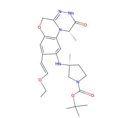 CCO/C=C/c1cc2c(cc1N[C@@]1(C)CCN(C(=O)OC(C)(C)C)C1)N1C(=NNC(=O)[C@@H]1C)CO2